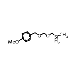 COc1ccc(COCOC[SiH2]C)cc1